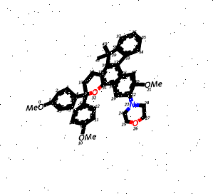 COc1ccc(C2(c3ccc(OC)cc3)C=Cc3c4c(c5cc(OC)c(N6CCOCC6)cc5c3O2)-c2ccccc2C4(C)C)cc1